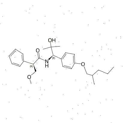 CCCC(C)COc1ccc([C@@H](NC(=O)[C@@H](COC)c2ccccc2)C(C)(C)O)cc1